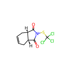 O=C1[C@H]2CC=CC[C@H]2C(=O)N1SC(Cl)(Cl)Cl